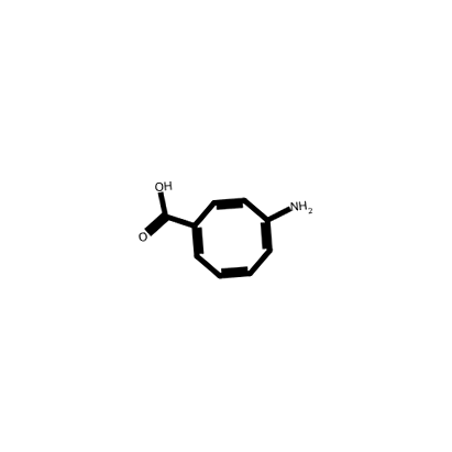 NC1=C/C=C\C=C(C(=O)O)/C=C\1